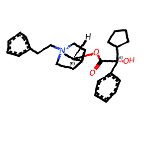 O=C(O[C@H]1C[N+]2(CCc3ccccc3)CCC1CC2)[C@](O)(c1ccccc1)C1CCCC1